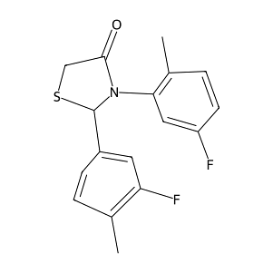 Cc1ccc(C2SCC(=O)N2c2cc(F)ccc2C)cc1F